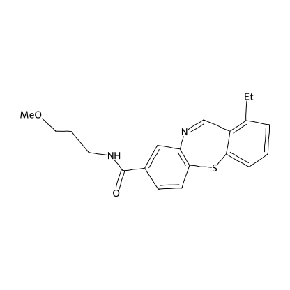 CCc1cccc2c1C=Nc1cc(C(=O)NCCCOC)ccc1S2